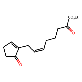 CCOC(=O)C(=O)CCC/C=C\CC1=CCCC1=O